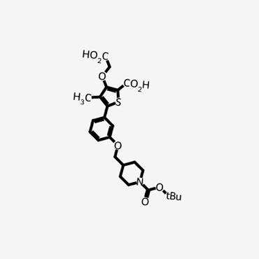 Cc1c(-c2cccc(OCC3CCN(C(=O)OC(C)(C)C)CC3)c2)sc(C(=O)O)c1OCC(=O)O